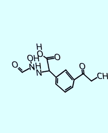 CCC(=O)c1cccc(C(NN(O)C=O)C(=O)O)c1